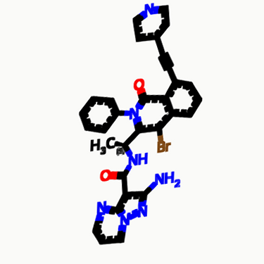 C[C@H](NC(=O)c1c(N)nn2cccnc12)c1c(Br)c2cccc(C#Cc3ccncc3)c2c(=O)n1-c1ccccc1